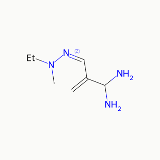 C=C(/C=N\N(C)CC)C(N)N